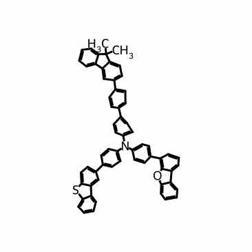 CC1(C)c2ccccc2-c2cc(-c3ccc(-c4ccc(N(c5ccc(-c6ccc7sc8ccccc8c7c6)cc5)c5ccc(-c6cccc7c6oc6ccccc67)cc5)cc4)cc3)ccc21